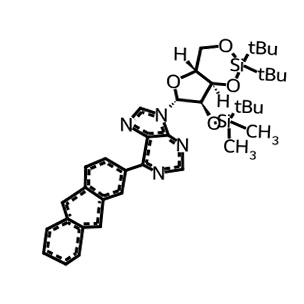 CC(C)(C)[Si](C)(C)O[C@@H]1[C@@H]2O[Si](C(C)(C)C)(C(C)(C)C)OC[C@H]2O[C@H]1n1cnc2c(-c3ccc4cc5ccccc5cc4c3)ncnc21